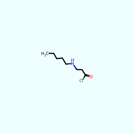 CCCCCNCCC(=O)Cl